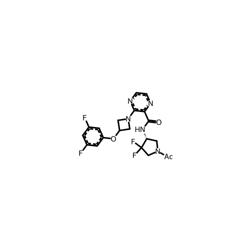 CC(=O)N1C[C@@H](NC(=O)c2nccnc2N2CC(Oc3cc(F)cc(F)c3)C2)C(F)(F)C1